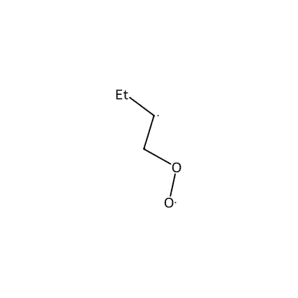 CC[CH]CO[O]